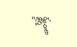 Cc1nc([C@@H]2CC[C@H](F)C[C@H]2C(N)=O)c(-c2ccc(N3CCOCC3)cc2)s1